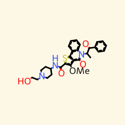 COc1c(C(=O)NC2CCN(CCO)CC2)sc2c1c(=O)n(C(C)C(=O)c1ccccc1)c1ccccc21